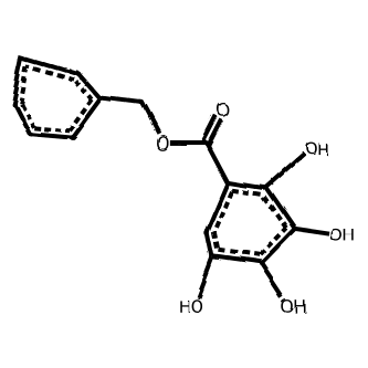 O=C(OCc1ccccc1)c1cc(O)c(O)c(O)c1O